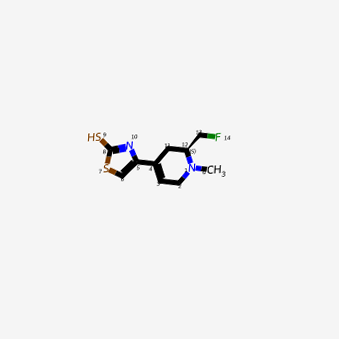 CN1CC=C(c2csc(S)n2)C[C@H]1CF